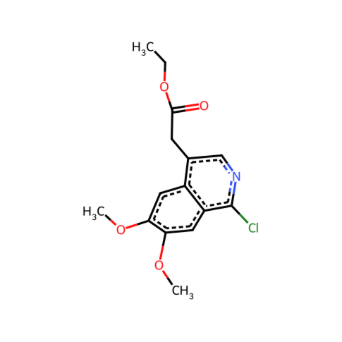 CCOC(=O)Cc1cnc(Cl)c2cc(OC)c(OC)cc12